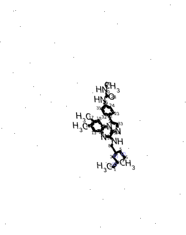 C\C=C/C=C(\C=C/C)CNc1nc2cc(C)c(C)cc2n2c(-c3ccc(NC(=O)NC)cc3)cnc12